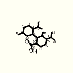 CC1CCC(C(C)C)C(C2C(C(=O)O)CCC(C(C)C)C2C)C1